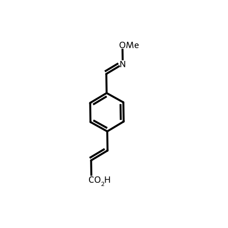 CON=Cc1ccc(C=CC(=O)O)cc1